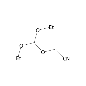 CCOP(OCC)OCC#N